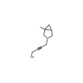 CC12CC1CN(CC#CCO)C2